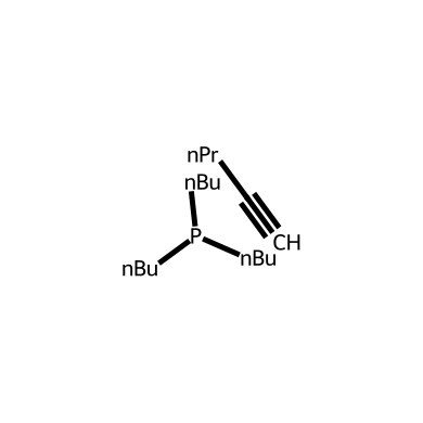 C#CCCC.CCCCP(CCCC)CCCC